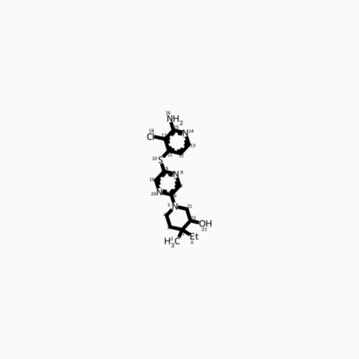 CCC1(C)CCN(c2cnc(Sc3ccnc(N)c3Cl)cn2)CC1O